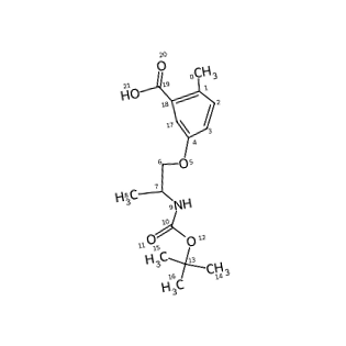 Cc1ccc(OCC(C)NC(=O)OC(C)(C)C)cc1C(=O)O